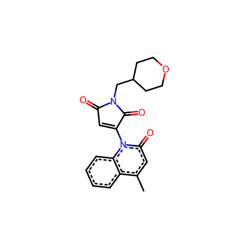 Cc1cc(=O)n(C2=CC(=O)N(CC3CCOCC3)C2=O)c2ccccc12